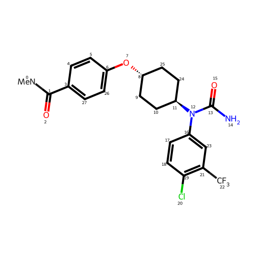 CNC(=O)c1ccc(O[C@H]2CC[C@H](N(C(N)=O)c3ccc(Cl)c(C(F)(F)F)c3)CC2)cc1